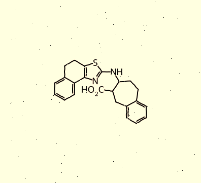 O=C(O)C1Cc2ccccc2CCC1Nc1nc2c(s1)CCc1ccccc1-2